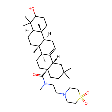 CN(CCN1CCS(=O)(=O)CC1)C(=O)[C@]12CCC(C)(C)C[C@H]1C1=CC[C@@H]3[C@@]4(C)CCC(O)C(C)(C)[C@@H]4CC[C@@]3(C)[C@]1(C)CC2